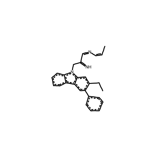 C/C=C\N=C/C(=N)Cn1c2ccccc2c2cc(-c3ccccc3)c(CC)cc21